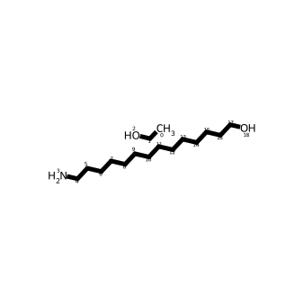 CCO.NCCCCCCCCCCCCCCO